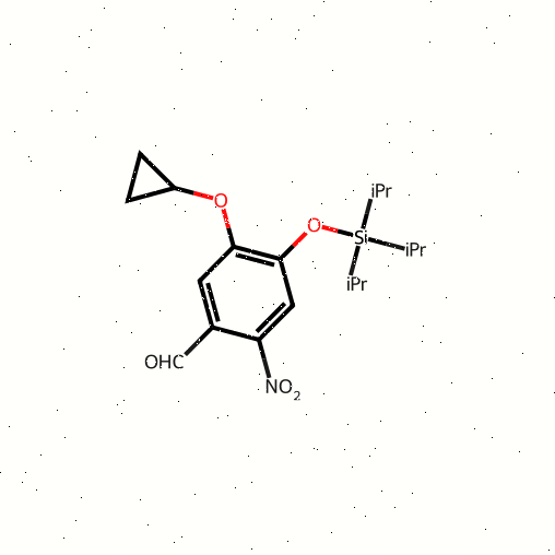 CC(C)[Si](Oc1cc([N+](=O)[O-])c(C=O)cc1OC1CC1)(C(C)C)C(C)C